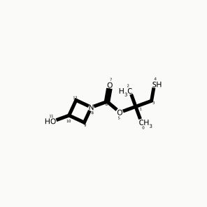 CC(C)(CS)OC(=O)N1CC(O)C1